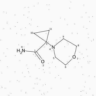 NC(=O)C1(N2CCOCC2)CC1